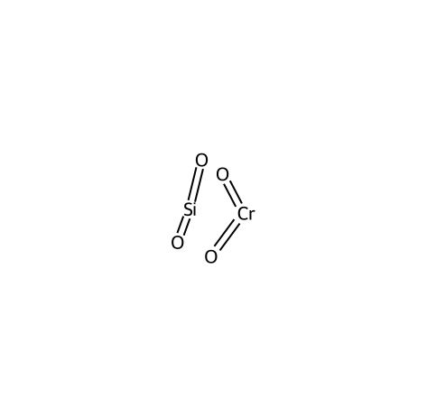 O=[Si]=O.[O]=[Cr]=[O]